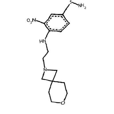 NSc1ccc(NCCN2CC3(CCOCC3)C2)c([N+](=O)[O-])c1